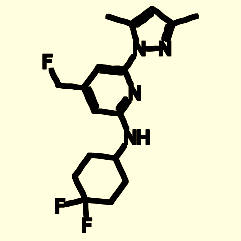 Cc1cc(C)n(-c2cc(CF)cc(NC3CCC(F)(F)CC3)n2)n1